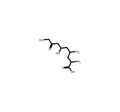 CCC(=O)CC(O)CC(C)CC(N)C(=O)O